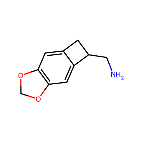 NCC1Cc2cc3c(cc21)OCO3